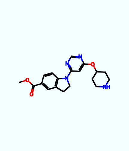 COC(=O)c1ccc2c(c1)CCN2c1cc(OC2CCNCC2)ncn1